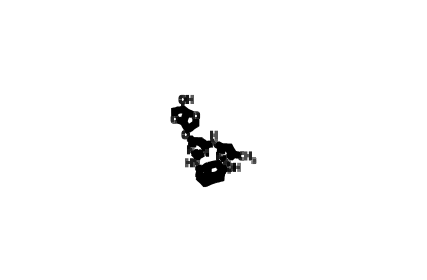 Cc1cc(Nc2cc(O[C@H]3COC4C3OC[C@@H]4O)nc(NC3C4CC5CC3CC(O)(C5)C4)n2)n[nH]1